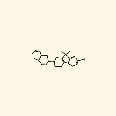 C/C=C\C1CC(C2CCC3=C(C2)C(C)(C)C2=CC(I)=CCC23)C=CC1C